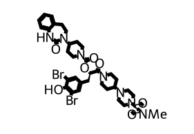 CNS(=O)(=O)N1CCN(C2CCN(C(=O)[C@@H](Cc3cc(Br)c(O)c(Br)c3)OC(=O)N3CCC(N4CCc5ccccc5NC4=O)CC3)CC2)CC1